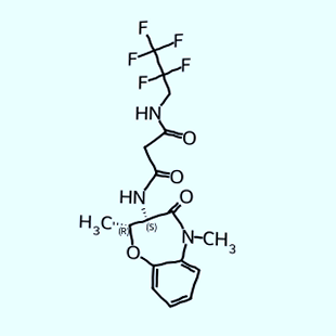 C[C@H]1Oc2ccccc2N(C)C(=O)[C@H]1NC(=O)CC(=O)NCC(F)(F)C(F)(F)F